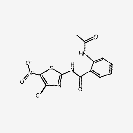 CC(=O)Nc1ccccc1C(=O)Nc1nc(Cl)c([N+](=O)[O-])s1